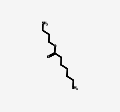 NCCCCCC(=O)OCCCN